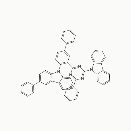 c1ccc(-c2ccc(-n3c4ccccc4c4cc(-c5ccccc5)ccc43)c(-c3nc(-c4ccccc4)nc(-n4c5ccccc5c5ccccc54)n3)c2)cc1